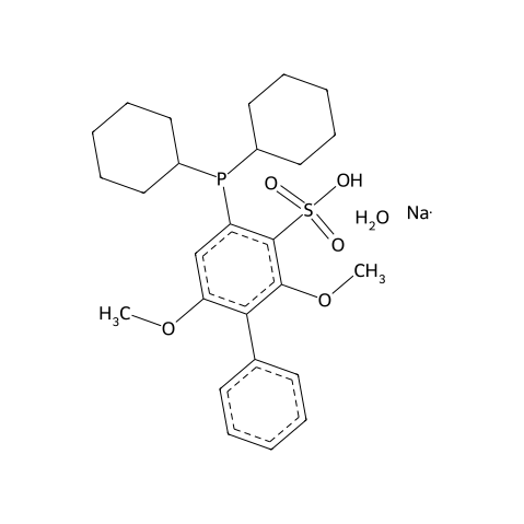 COc1cc(P(C2CCCCC2)C2CCCCC2)c(S(=O)(=O)O)c(OC)c1-c1ccccc1.O.[Na]